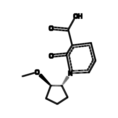 CO[C@@H]1CCC[C@H]1n1cccc(C(=O)O)c1=O